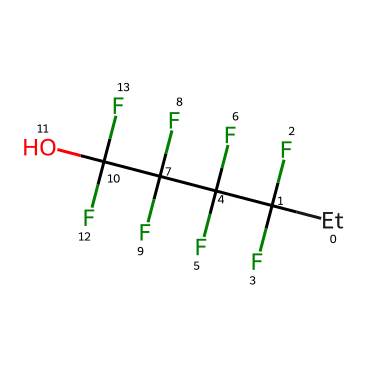 CCC(F)(F)C(F)(F)C(F)(F)C(O)(F)F